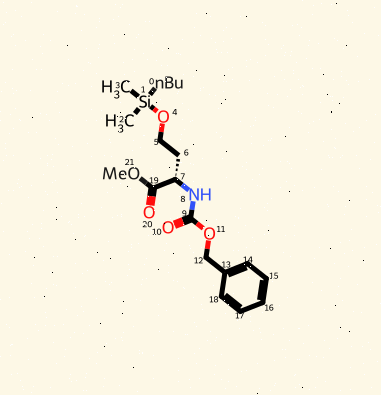 CCCC[Si](C)(C)OCC[C@H](NC(=O)OCc1ccccc1)C(=O)OC